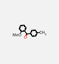 COc1ccccc1C(=O)c1ccc(C)cc1